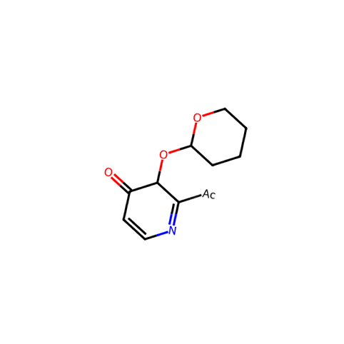 CC(=O)C1=NC=CC(=O)C1OC1CCCCO1